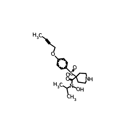 CC#CCOc1ccc(S(=O)(=O)C2(C(=O)N(O)C(C)C)CCNCC2)cc1